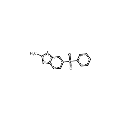 Cc1nc2ccc(S(=O)(=O)c3ccccc3)cc2s1